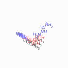 CC(=O)O.CC(=O)O.CC(=O)O.CC(=O)O.CC(=O)O.CC(=O)O.N.N.N.N.N.N.NCCNCCNCCN